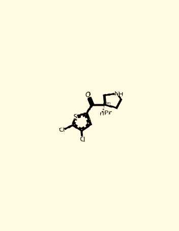 CCC[C@@]1(C(=O)c2cc(Cl)c(Cl)s2)CCNC1